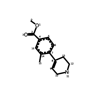 COC(=O)c1ccc(C2=CC[N]CC2)c(C)c1